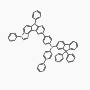 c1ccc(-c2ccc(N(c3ccc(-c4ccc5c(c4)c4c6ccn(-c7ccccc7)c6ccc4n5-c4ccccc4)cc3)c3ccc4c(c3)C(c3ccccc3)(c3ccccc3)c3ccccc3-4)cc2)cc1